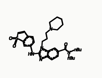 CCCCN(CCCC)C(=O)c1ccc2nc(Nc3ccc4c(c3)S(=O)(=O)C=C4)n(CCCN3CCCCC3)c2c1